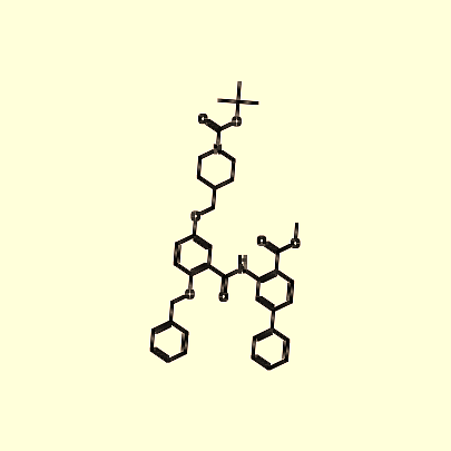 COC(=O)c1ccc(-c2ccccc2)cc1NC(=O)c1cc(OCC2CCN(C(=O)OC(C)(C)C)CC2)ccc1OCc1ccccc1